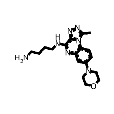 Cc1nnc2c(NCCCCN)nc3cc(N4CCOCC4)ccc3n12